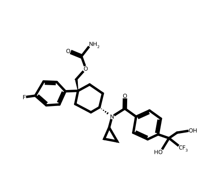 NC(=O)OC[C@]1(c2ccc(F)cc2)CC[C@@H](N(C(=O)c2ccc(C(O)(CO)C(F)(F)F)cc2)C2CC2)CC1